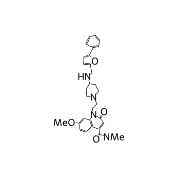 CNC(=O)c1cc(=O)n(CCN2CCC(NCc3ccc(-c4ccccc4)o3)CC2)c2cc(OC)ccc12